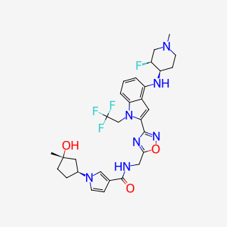 CN1CC[C@@H](Nc2cccc3c2cc(-c2noc(CNC(=O)c4ccn([C@H]5CC[C@](C)(O)C5)c4)n2)n3CC(F)(F)F)[C@@H](F)C1